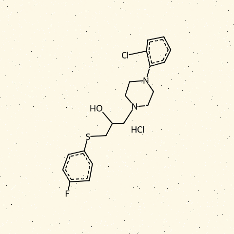 Cl.OC(CSc1ccc(F)cc1)CN1CCN(c2ccccc2Cl)CC1